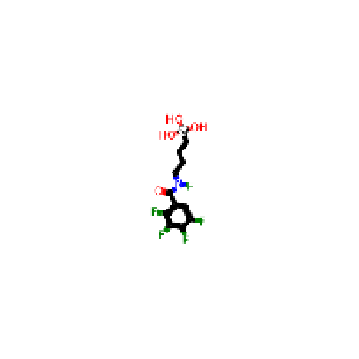 O=C(c1cc(F)c(F)c(F)c1F)N(F)CCCC[Si](O)(O)O